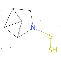 SSN1CC2C3C2C31